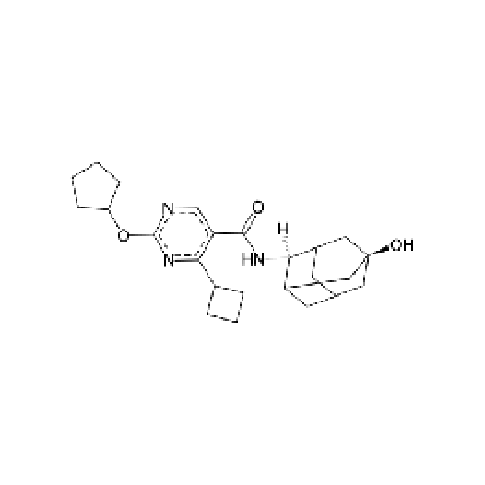 O=C(N[C@H]1C2CC3CC1C[C@@](O)(C3)C2)c1cnc(OC2CCCC2)nc1C1CCC1